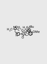 COc1ccc(CN2C(=O)N(c3cnn(Cc4c(C)noc4C)c3)C(=O)C2(C)C)cc1O[Si](C)(C)C(C)(C)C